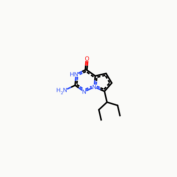 CCC(CC)c1ccc2c(=O)[nH]c(N)nn12